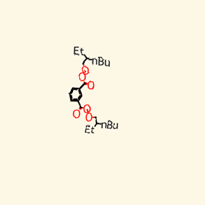 CCCCC(CC)COOC(=O)c1cccc(C(=O)OOCC(CC)CCCC)c1